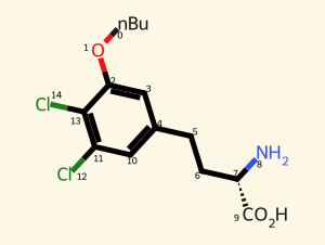 CCCCOc1cc(CC[C@H](N)C(=O)O)cc(Cl)c1Cl